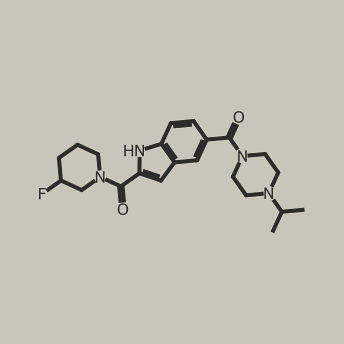 CC(C)N1CCN(C(=O)c2ccc3[nH]c(C(=O)N4CCCC(F)C4)cc3c2)CC1